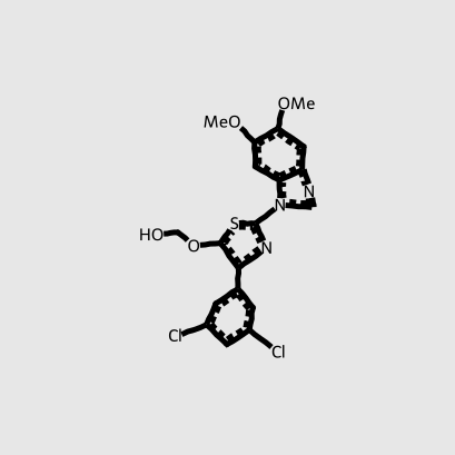 COc1cc2ncn(-c3nc(-c4cc(Cl)cc(Cl)c4)c(OCO)s3)c2cc1OC